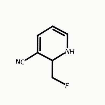 N#CC1=CC=CNC1CF